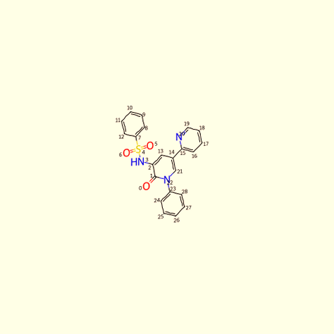 O=c1c(NS(=O)(=O)c2ccccc2)cc(-c2ccccn2)cn1-c1ccccc1